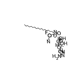 CCCCCCCCCCCCCCCCCCN(C)C(=O)[C@H](CCP(=O)(O)OC1[C@H]2O[C@@](C)(c3ccc4c(N)ncnn34)[C@H](C)[C@@]12O)OCc1cc(F)cc(C#N)c1